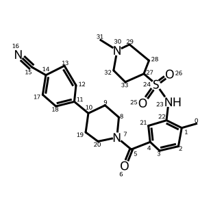 Cc1ccc(C(=O)N2CCC(c3ccc(C#N)cc3)CC2)cc1NS(=O)(=O)C1CCN(C)CC1